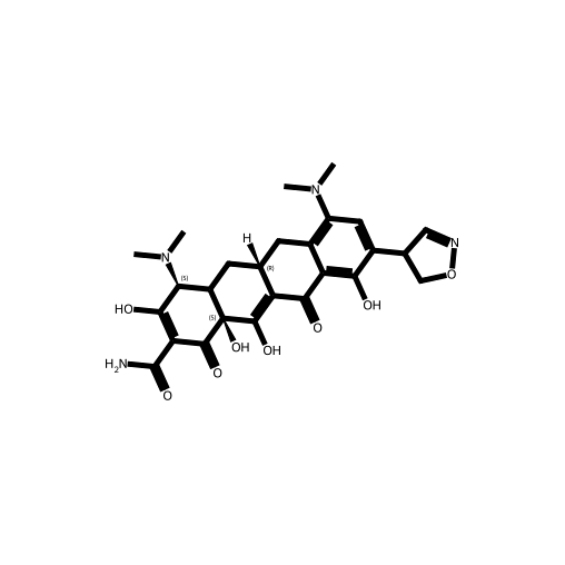 CN(C)c1cc(C2C=NOC2)c(O)c2c1C[C@H]1CC3[C@H](N(C)C)C(O)=C(C(N)=O)C(=O)[C@@]3(O)C(O)=C1C2=O